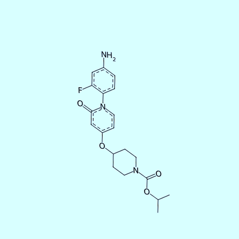 CC(C)OC(=O)N1CCC(Oc2ccn(-c3ccc(N)cc3F)c(=O)c2)CC1